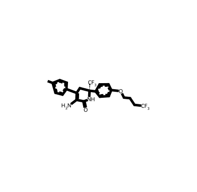 Cc1ccc(C2=C(N)C(=O)N[C@@](c3ccc(OCCCC(F)(F)F)cc3)(C(F)(F)F)C2)cc1